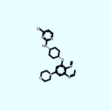 C=Nc1c(/N=C\C)cc(N2CCOCC2)cc1O[C@H]1CC[C@@H](Nc2nccc(Cl)n2)CC1